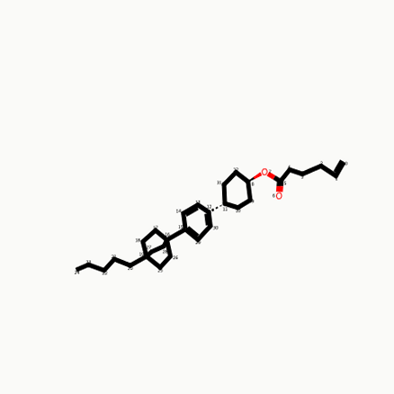 C=CCCCC(=O)O[C@H]1CC[C@H](c2ccc(C34CCC(CCCCC)(CC3)CC4)cc2)CC1